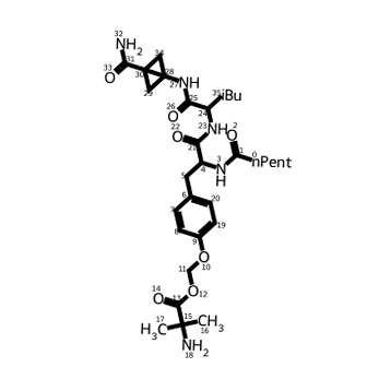 CCCCCC(=O)NC(Cc1ccc(OCOC(=O)C(C)(C)N)cc1)C(=O)NC(C(=O)NC12CC1(C(N)=O)C2)C(C)CC